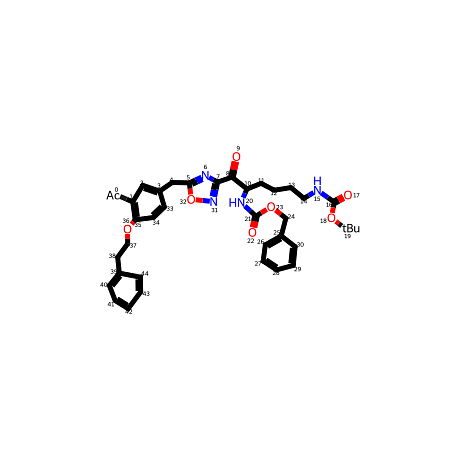 CC(=O)c1cc(Cc2nc(C(=O)C(CCCCNC(=O)OC(C)(C)C)NC(=O)OCc3ccccc3)no2)ccc1OCCc1ccccc1